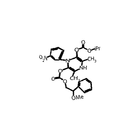 COC(COC(=O)OC1=C(C)NC(C)=C(OC(=O)OC(C)C)N1c1cccc([N+](=O)[O-])c1)c1ccccc1